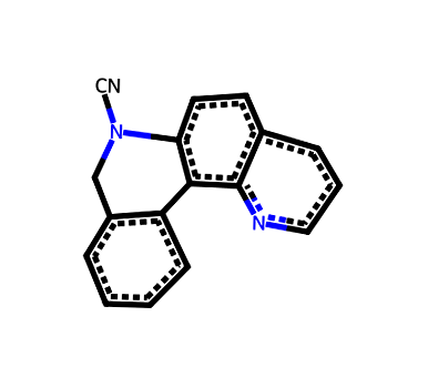 N#CN1Cc2ccccc2-c2c1ccc1cccnc21